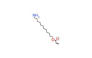 C=CC(=O)OCCCCCCCCCCCCN